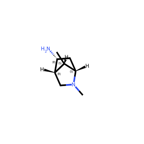 C[C@H]1[C@@H]2CN(C)[C@H]1C[C@H]2N